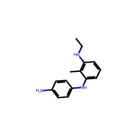 CCNc1cccc(Nc2ccc(N)cc2)c1C